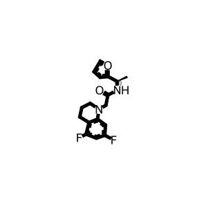 C[C@@H](NC(=O)CN1CCCc2c(F)cc(F)cc21)c1ccco1